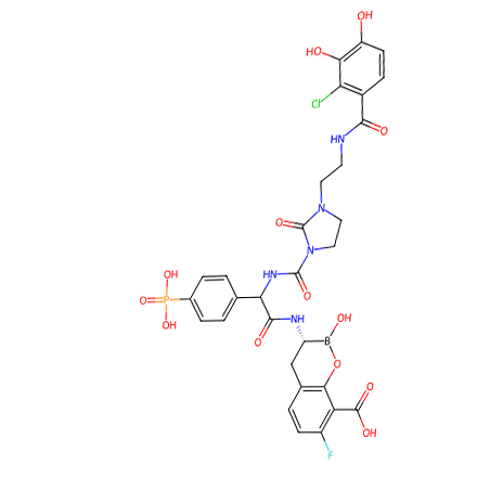 O=C(NCCN1CCN(C(=O)NC(C(=O)N[C@H]2Cc3ccc(F)c(C(=O)O)c3OB2O)c2ccc(P(=O)(O)O)cc2)C1=O)c1ccc(O)c(O)c1Cl